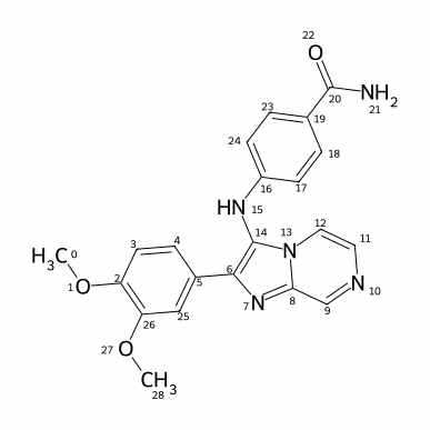 COc1ccc(-c2nc3cnccn3c2Nc2ccc(C(N)=O)cc2)cc1OC